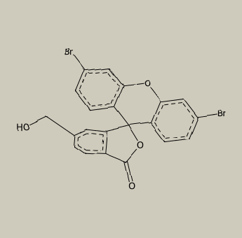 O=C1OC2(c3ccc(Br)cc3Oc3cc(Br)ccc32)c2cc(CO)ccc21